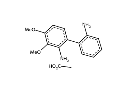 CC(=O)O.COc1ccc(-c2ccccc2N)c(N)c1OC